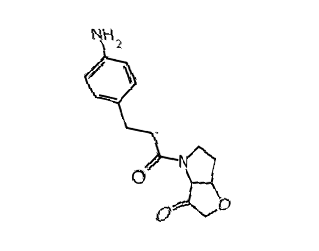 Nc1ccc(C[CH]C(=O)N2CCC3OCC(=O)C32)cc1